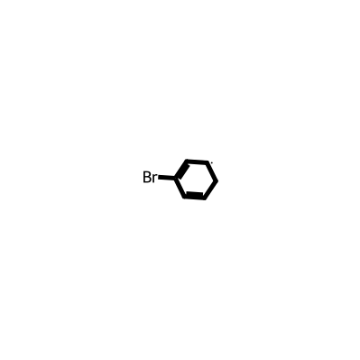 BrC1=C[CH]CC=C1